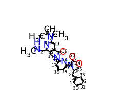 CNCc1nc(N(C)C(C)C)cc2c1CN(c1cccc(N3C(=O)OC[C@@H]3Cc3ccccc3)n1)C2=O